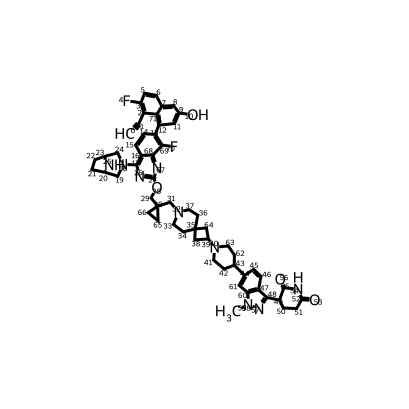 C#Cc1c(F)ccc2cc(O)cc(-c3ccc4c(N5CC6CCC(C5)N6)nc(OCC5(CN6CCC7(CC6)CC(N6CCC(c8ccc9c(C%10CCC(=O)NC%10=O)nn(C)c9c8)CC6)C7)CC5)nc4c3F)c12